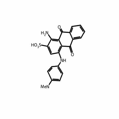 CNc1ccc(Nc2cc(S(=O)(=O)O)c(N)c3c2C(=O)c2ccccc2C3=O)cc1